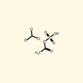 CC(=O)OS(=O)(=O)O.ClC(Cl)Cl